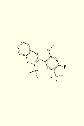 COc1cc(F)c(C(C)(C)C)cc1-c1cc2ccccc2cc1C(C)(C)C